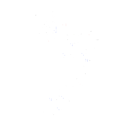 O=C(NC1(C(=O)O)C2CC3CC(C2)CC1C3)c1cnc(-c2c3ccc(OC4CCN(c5ncccn5)CC4)cc3nn2C2CCOCC2)nc1C(F)(F)F